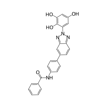 O=C(Nc1ccc(-c2ccc3nn(-c4cc(O)cc(O)c4O)nc3c2)cc1)c1ccccc1